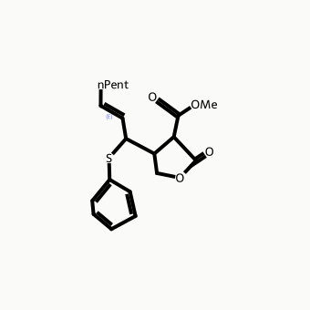 CCCCC/C=C/C(Sc1ccccc1)C1COC(=O)C1C(=O)OC